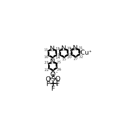 O=S(=O)([O-])C(F)(F)F.[Cu+].c1ccncc1.c1ccncc1.c1ccncc1.c1ccncc1